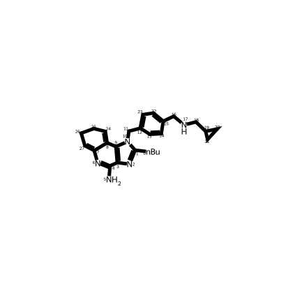 CCCCc1nc2c(N)nc3c(c2n1Cc1ccc(CNCC2CC2)cc1)=CCCC=3